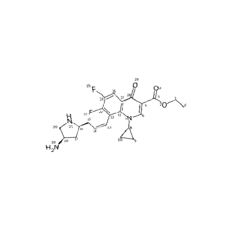 CCOC(=O)c1cn(C2CC2)c2c(/C=C\C[C@H]3C[C@@H](N)CN3)c(F)c(F)cc2c1=O